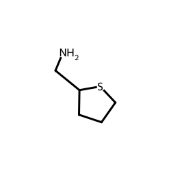 NCC1CCCS1